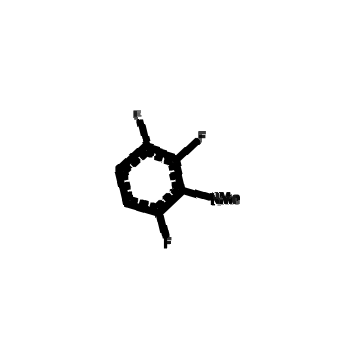 CNc1c(F)ccc(F)c1F